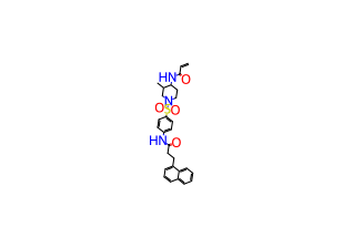 C=CC(=O)NC1CCN(S(=O)(=O)c2ccc(NC(=O)CCc3cccc4ccccc34)cc2)CC1C